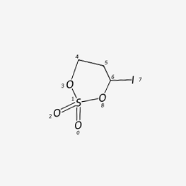 O=S1(=O)OCCC(I)O1